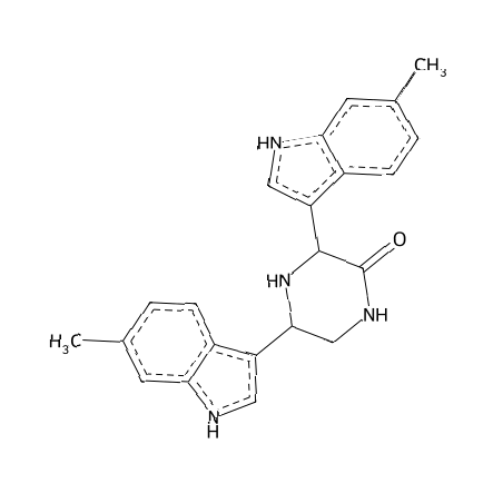 Cc1ccc2c(C3CNC(=O)C(c4c[nH]c5cc(C)ccc45)N3)c[nH]c2c1